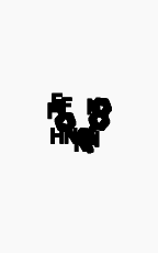 Cc1nc(Nc2ccc(C(F)(F)F)cc2)cc(-c2ccc3cccnc3c2)n1